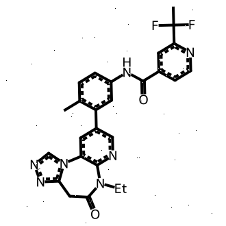 CCN1C(=O)Cc2nncn2-c2cc(-c3cc(NC(=O)c4ccnc(C(C)(F)F)c4)ccc3C)cnc21